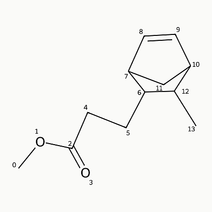 COC(=O)CCC1C2C=CC(C2)C1C